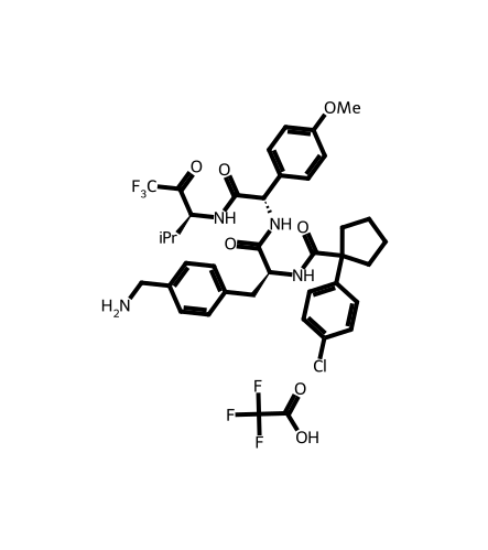 COc1ccc([C@H](NC(=O)[C@H](Cc2ccc(CN)cc2)NC(=O)C2(c3ccc(Cl)cc3)CCCC2)C(=O)N[C@H](C(=O)C(F)(F)F)C(C)C)cc1.O=C(O)C(F)(F)F